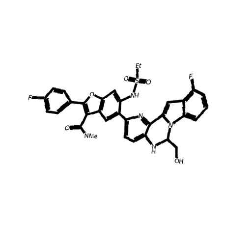 CCS(=O)(=O)Nc1cc2oc(-c3ccc(F)cc3)c(C(=O)NC)c2cc1-c1ccc2c(n1)-c1cc3c(F)cccc3n1C(CO)N2